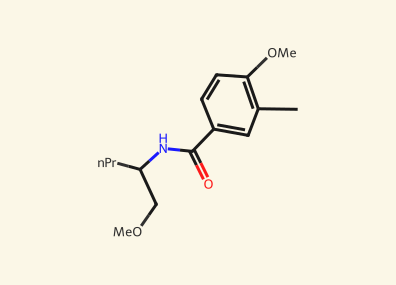 CCCC(COC)NC(=O)c1ccc(OC)c(C)c1